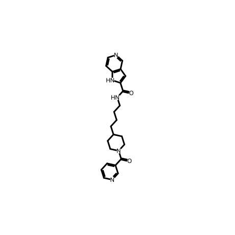 O=C(NCCCCC1CCN(C(=O)c2cccnc2)CC1)c1cc2cnccc2[nH]1